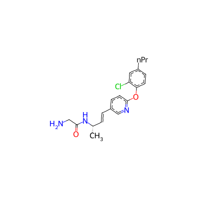 CCCc1ccc(Oc2ccc(/C=C/[C@H](C)NC(=O)CN)cn2)c(Cl)c1